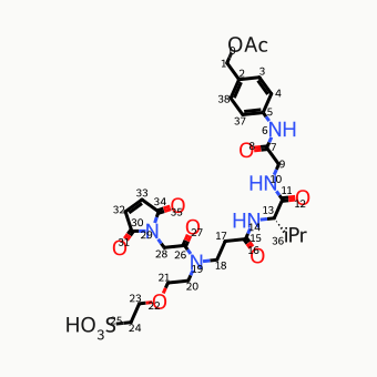 CC(=O)OCc1ccc(NC(=O)CNC(=O)[C@@H](NC(=O)CCN(CCOCCS(=O)(=O)O)C(=O)CN2C(=O)C=CC2=O)C(C)C)cc1